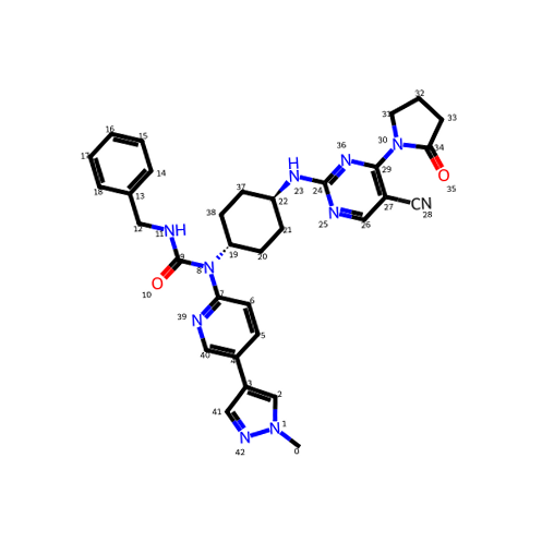 Cn1cc(-c2ccc(N(C(=O)NCc3ccccc3)[C@H]3CC[C@H](Nc4ncc(C#N)c(N5CCCC5=O)n4)CC3)nc2)cn1